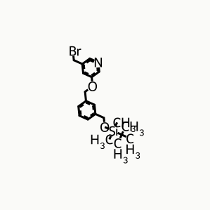 CC(C)(C)[Si](C)(C)OCc1cccc(COc2cncc(CBr)c2)c1